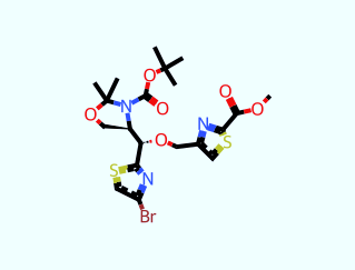 COC(=O)c1nc(CO[C@H](c2nc(Br)cs2)[C@H]2COC(C)(C)N2C(=O)OC(C)(C)C)cs1